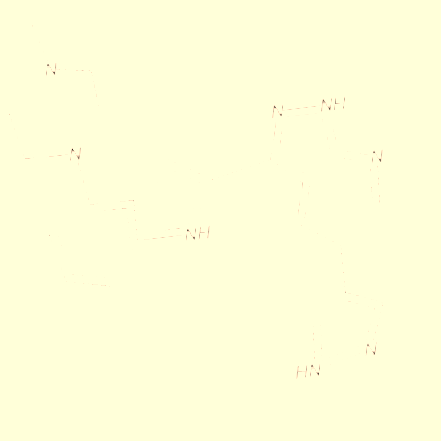 CN1CCN(c2cccc3[nH]c(-c4n[nH]c5ncc(-c6cn[nH]c6)cc45)cc23)CC1